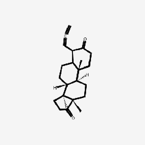 C=C=CC1C(=O)CC[C@@]2(C)C1CC[C@@H]1[C@@H]2CC[C@]2(C)C(=O)CC[C@@H]12